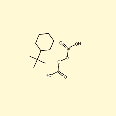 CC(C)(C)C1CCCCC1.O=C(O)OO[Si](=O)O